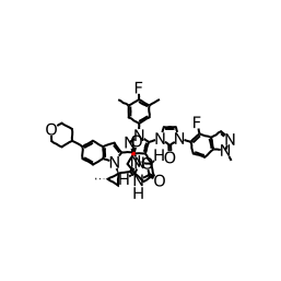 Cc1cc(-n2nc3c(c2-n2ccn(-c4ccc5c(cnn5C)c4F)c2=O)[C@@H]2CC[C@H](C3)N2C(=O)c2cc3cc(C4CCOCC4)ccc3n2[C@@]2(c3noc(=O)[nH]3)C[C@@H]2C)cc(C)c1F